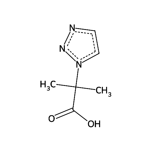 CC(C)(C(=O)O)n1ccnn1